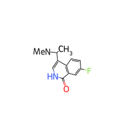 CNC(C)c1c[nH]c(=O)c2cc(F)ccc12